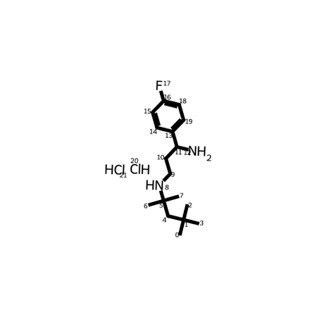 CC(C)(C)CC(C)(C)NCCC(N)c1ccc(F)cc1.Cl.Cl